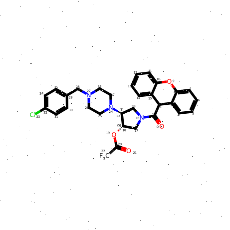 O=C(C1c2ccccc2Oc2ccccc21)N1C[C@H](OC(=O)C(F)(F)F)[C@@H](N2CCN(Cc3ccc(Cl)cc3)CC2)C1